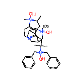 CC(CC1CC2CCC1C[N+](O)(C(C)(C)C)C2)[N+](C)(O)c1ccnc(CC(C)(C)[N+](O)(Cc2ccccc2)Cc2ccccc2)c1